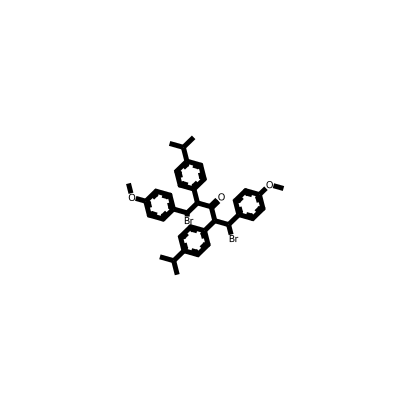 COc1ccc(C(Br)C(C(=O)C(c2ccc(C(C)C)cc2)C(Br)c2ccc(OC)cc2)c2ccc(C(C)C)cc2)cc1